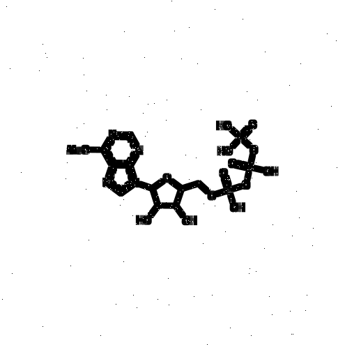 COc1ncnc2c1ncn2C1OC(COP(=O)(O)OP(=O)(O)OP(=O)(O)O)C(O)C1O